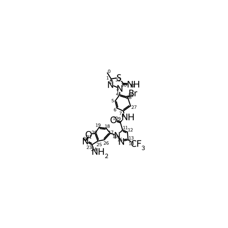 Cc1nn(-c2ccc(NC(=O)c3cc(C(F)(F)F)nn3-c3ccc4onc(N)c4c3)cc2Br)c(=N)s1